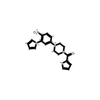 O=C(c1cccs1)N1CCN(c2ccc([N+](=O)[O-])c(-n3cccc3)c2)CC1